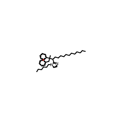 CCCCCCCCCCCCC(c1nccn1CCCCCC)C(C)(Cc1ccccc1)c1ccccc1